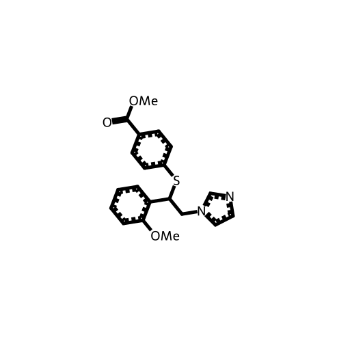 COC(=O)c1ccc(SC(Cn2ccnc2)c2ccccc2OC)cc1